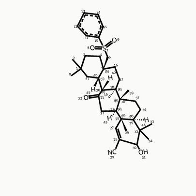 CC1(C)CC[C@]2(CS(=O)(=O)c3ccccc3)CC[C@]3(C)[C@H](C(=O)C[C@@H]4[C@@]5(C)C=C(C#N)C(O)C(C)(C)[C@@H]5CC[C@]43C)[C@@H]2C1